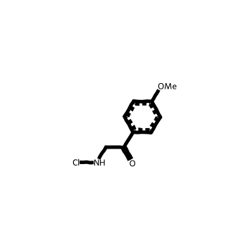 COc1ccc(C(=O)CNCl)cc1